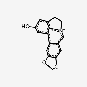 Oc1cc2c3c(c1)c1cc4c(cc1c[n+]3CC2)OCO4